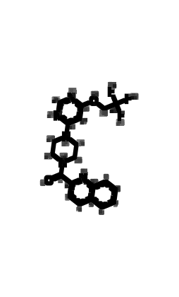 O=C(c1ccc2ccccc2n1)N1CCN(c2cc(OCC(F)(F)F)ncn2)CC1